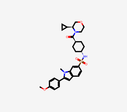 COc1ccc(-c2cc3ccc(S(=O)(=O)N[C@H]4CC[C@H](C(=O)N5CCOC[C@@H]5C5CC5)CC4)cc3n2C)cc1